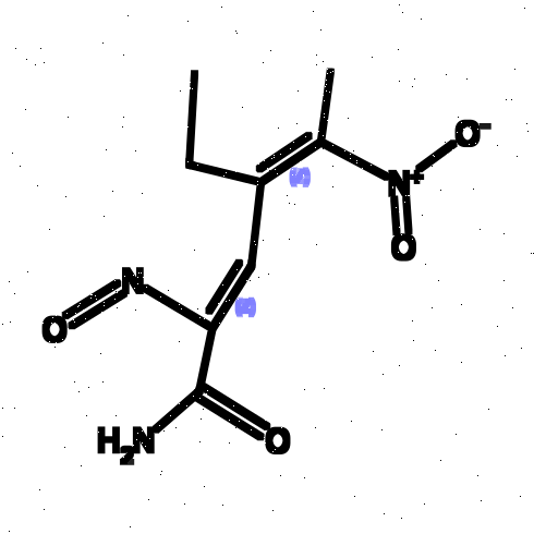 CCC(/C=C(\N=O)C(N)=O)=C(\C)[N+](=O)[O-]